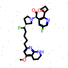 COc1cc(CCCCC(F)[C@@H]2CCN([C@@H](C(=O)O)c3cc(F)cnc3C3CCC3)C2)nc2c1CCCN2